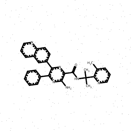 Cc1cccnc1C(C)(C)NC(=O)c1nc(-c2ccc3ncccc3c2)c(-c2ccccc2)nc1N